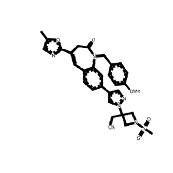 COc1ccc(CN2C(=O)CC(c3ncc(C)o3)=Cc3ccc(-c4cnn(C5(CC#N)CN(S(C)(=O)=O)C5)c4)cc32)cc1